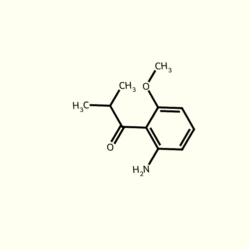 COc1cccc(N)c1C(=O)C(C)C